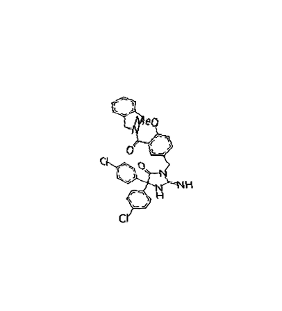 COc1ccc(CN2C(=N)NC(c3ccc(Cl)cc3)(c3ccc(Cl)cc3)C2=O)cc1C(=O)N1Cc2ccccc2C1